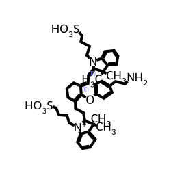 CC1(C)C(CCC2=C(Oc3ccc(CCN)cc3)/C(=C/C=C3/N(CCCCS(=O)(=O)O)c4ccccc4C3(C)C)CCC2)=[N+](CCCCS(=O)(=O)O)c2ccccc21